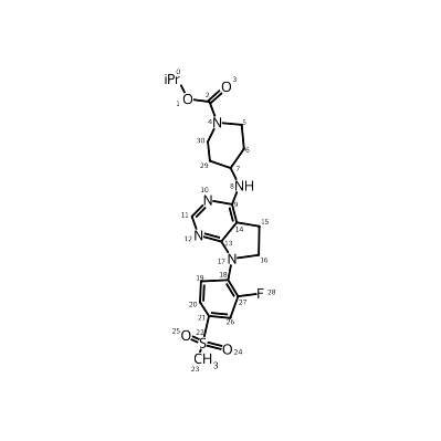 CC(C)OC(=O)N1CCC(Nc2ncnc3c2CCN3c2ccc(S(C)(=O)=O)cc2F)CC1